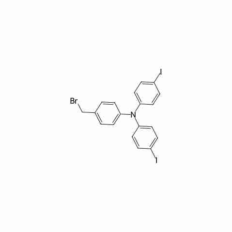 BrCc1ccc(N(c2ccc(I)cc2)c2ccc(I)cc2)cc1